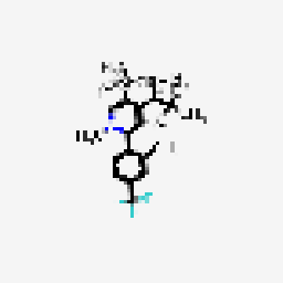 Cc1cc(C(F)(F)F)ccc1C1C=C(C(C)C(C)(C)C)C([Si](C)(C)C)=CN1C